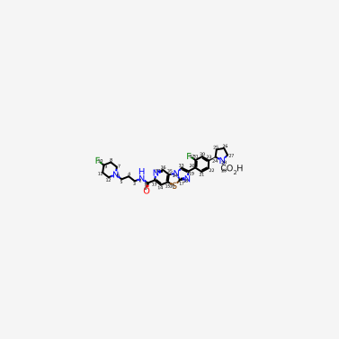 O=C(NCCCN1CCC(F)CC1)c1cc2sc3nc(-c4ccc([C@H]5CCCN5C(=O)O)cc4F)cn3c2cn1